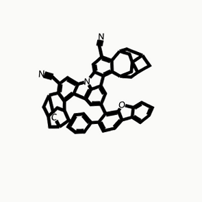 N#Cc1cc2c(c3c1C1CC4CC(C1)CC3C4)c1cc(-c3c(-c4ccccc4)ccc4c3oc3ccccc34)cc3c4c5c(c(C#N)cc4n2c13)C1CC2CC3CC5CC23C1